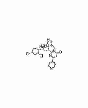 CC1(C)NCn2c(nc(-c3ccncn3)cc2=O)C1C[C@H](O)c1ccc(Cl)cc1Cl